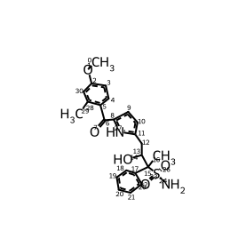 COc1ccc(C(=O)c2ccc(CC(O)C(C)(c3ccccc3)S(N)(=O)=O)[nH]2)c(C)c1